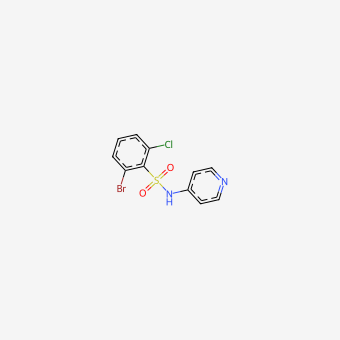 O=S(=O)(Nc1ccncc1)c1c(Cl)cccc1Br